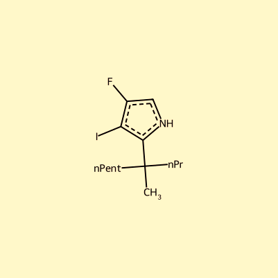 CCCCCC(C)(CCC)c1[nH]cc(F)c1I